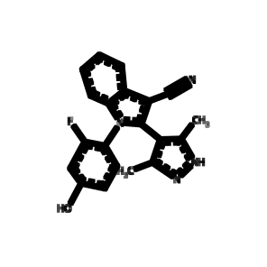 Cc1n[nH]c(C)c1-c1c(C#N)c2ccccc2n1-c1ccc(O)cc1F